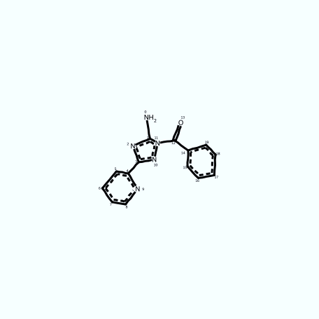 Nc1nc(-c2ccccn2)nn1C(=O)c1ccccc1